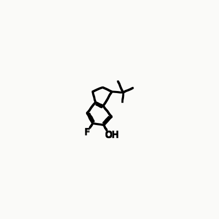 CC(C)(C)C1CCc2cc(F)c(O)cc21